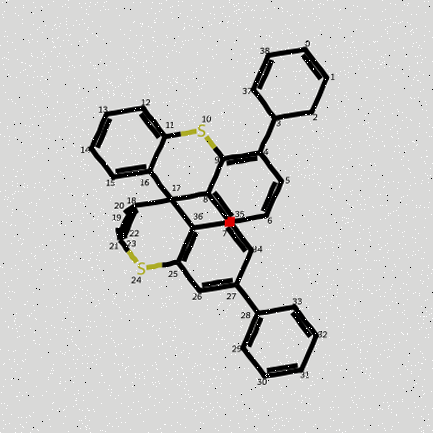 C1=CCC(c2cccc3c2Sc2ccccc2C32c3ccccc3Sc3cc(-c4ccccc4)ccc32)C=C1